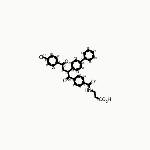 O=C(O)CCNC(=O)c1ccc(C(=O)C(CC(=O)c2ccc(Cl)cc2)c2ccc(-c3ccccc3)cc2)cc1